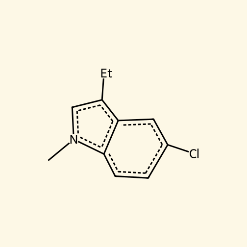 [CH2]Cc1cn(C)c2ccc(Cl)cc12